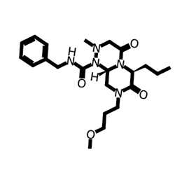 CCC[C@H]1C(=O)N(CCCOC)C[C@H]2N1C(=O)CN(C)N2C(=O)NCc1ccccc1